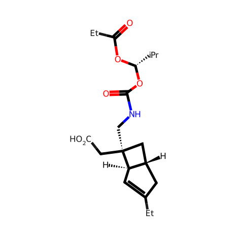 CCC(=O)O[C@@H](OC(=O)NC[C@]1(CC(=O)O)C[C@@H]2CC(CC)=C[C@H]21)C(C)C